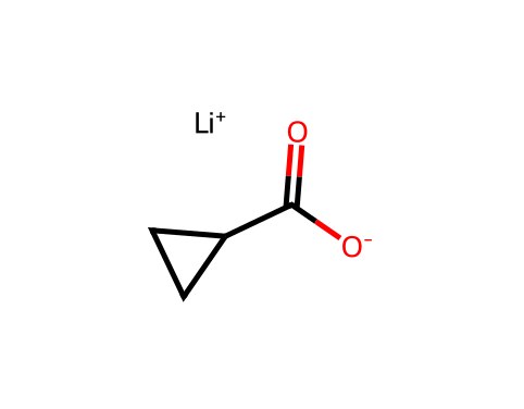 O=C([O-])C1CC1.[Li+]